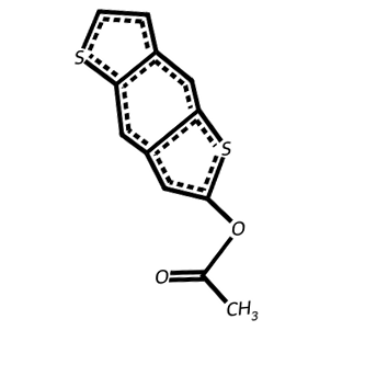 CC(=O)Oc1cc2cc3sccc3cc2s1